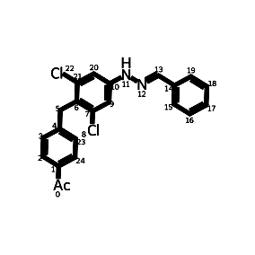 CC(=O)c1ccc(Cc2c(Cl)cc(N/N=C/c3ccccc3)cc2Cl)cc1